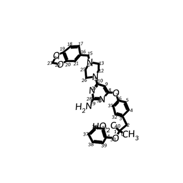 CC(Cc1ccc(Oc2cc(N3CCN(Cc4ccc5c(c4)OCO5)CC3)nc(N)n2)cc1)(Oc1ccccc1)C(=O)O